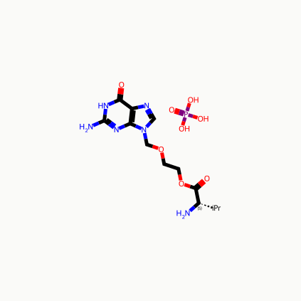 CC(C)[C@H](N)C(=O)OCCOCn1cnc2c(=O)[nH]c(N)nc21.O=P(O)(O)O